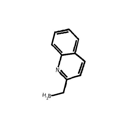 BCc1ccc2ccccc2n1